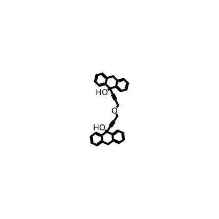 OC1(C#CCOCC#CC2(O)c3ccccc3Cc3ccccc32)c2ccccc2Cc2ccccc21